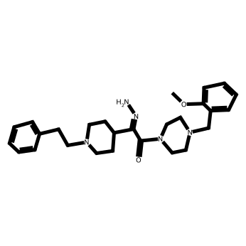 COc1ccccc1CN1CCN(C(=O)C(=NN)C2CCN(CCc3ccccc3)CC2)CC1